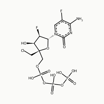 Nc1nc(=O)n([C@@H]2O[C@](CCl)(COP(=O)(O)OP(=O)(O)OP(=O)(O)O)[C@@H](O)[C@H]2F)cc1F